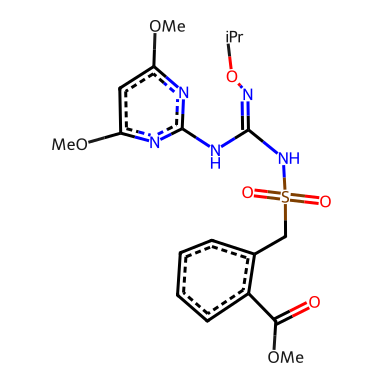 COC(=O)c1ccccc1CS(=O)(=O)NC(=NOC(C)C)Nc1nc(OC)cc(OC)n1